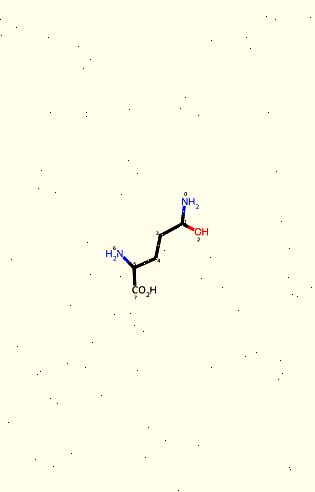 NC(O)CCC(N)C(=O)O